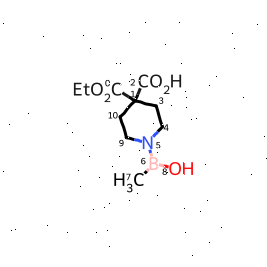 CCOC(=O)C1(C(=O)O)CCN(B(C)O)CC1